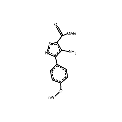 CCCOc1ccc(-c2nsc(C(=O)OC)c2N)cc1